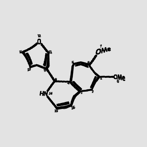 COc1cc2c(cc1OC)C(c1ccoc1)NC=C2